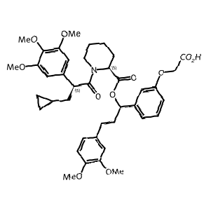 COc1ccc(CCC(OC(=O)[C@@H]2CCCCN2C(=O)[C@@H](CC2CC2)c2cc(OC)c(OC)c(OC)c2)c2cccc(OCC(=O)O)c2)cc1OC